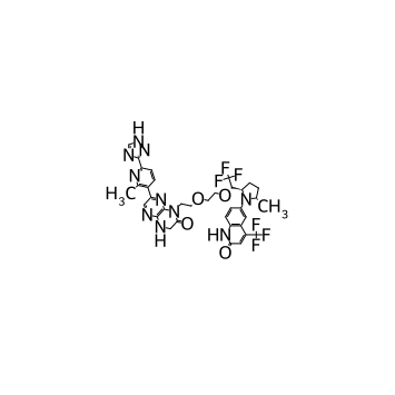 Cc1nc(-c2nc[nH]n2)ccc1-c1cnc2c(n1)N(CCOCCOC([C@H]1CC[C@H](C)N1c1ccc3[nH]c(=O)cc(C(F)(F)F)c3c1)C(F)(F)F)C(=O)CN2